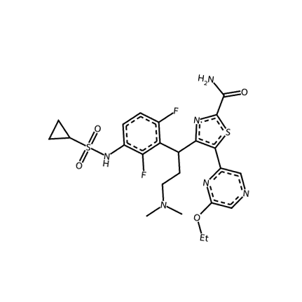 CCOc1cncc(-c2sc(C(N)=O)nc2C(CCN(C)C)c2c(F)ccc(NS(=O)(=O)C3CC3)c2F)n1